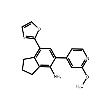 COc1cc(-c2cc(-c3ncco3)c3c(c2N)CCC3)ccn1